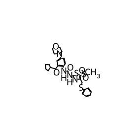 CS(=O)(=O)c1sc(NC(=O)Nc2ccc(N3CCOCC3)cc2C(=O)C2CCCC2)nc1CSc1ccccc1